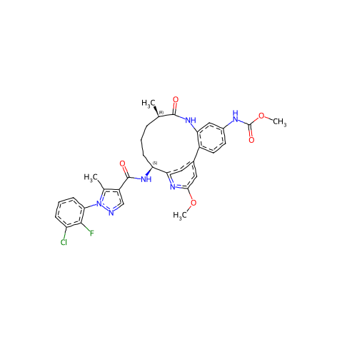 COC(=O)Nc1ccc2c(c1)NC(=O)[C@H](C)CCC[C@H](NC(=O)c1cnn(-c3cccc(Cl)c3F)c1C)c1cc-2cc(OC)n1